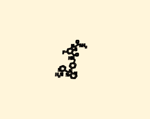 NC(=O)c1nc2cc(F)cc(C(=O)NCc3ccc(-n4c(-c5cccnc5N)nc5cccnc54)cc3)c2s1